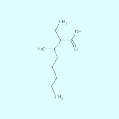 CCCCCC(O)C(CC)C(=O)O